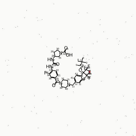 CC(C)(C)[Si](C)(C)OC(c1ccc(CN2CCN(C(=O)c3ccc(NC(=O)NC4CCN(C(=O)O)C4)c(F)c3)CC2)cc1)(C(F)(F)F)C(F)(F)F